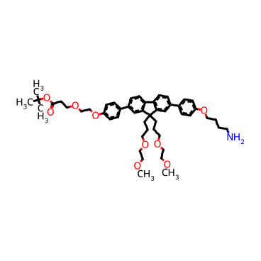 COCCOCCCC1(CCCOCCOC)c2cc(-c3ccc(OCCCCN)cc3)ccc2-c2ccc(-c3ccc(OCCOCCC(=O)OC(C)(C)C)cc3)cc21